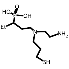 CCC(CCN(CCN)CCCS)P(=O)(O)O